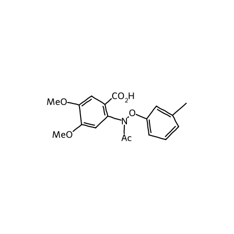 COc1cc(C(=O)O)c(N(Oc2cccc(C)c2)C(C)=O)cc1OC